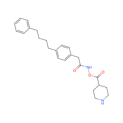 O=C(Cc1ccc(CCCCc2ccccc2)cc1)NOC(=O)C1CCNCC1